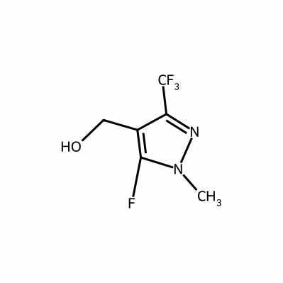 Cn1nc(C(F)(F)F)c(CO)c1F